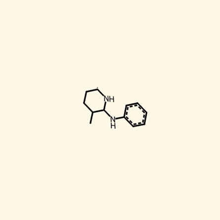 CC1CC[CH]NC1Nc1ccccc1